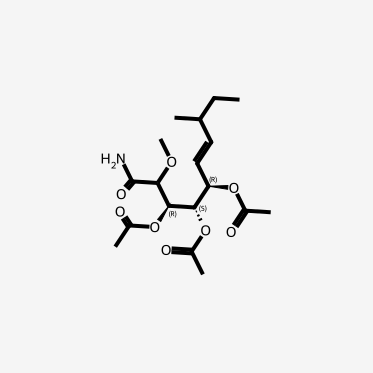 CCC(C)C=C[C@@H](OC(C)=O)[C@H](OC(C)=O)[C@@H](OC(C)=O)C(OC)C(N)=O